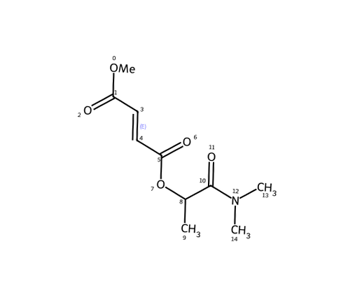 COC(=O)/C=C/C(=O)OC(C)C(=O)N(C)C